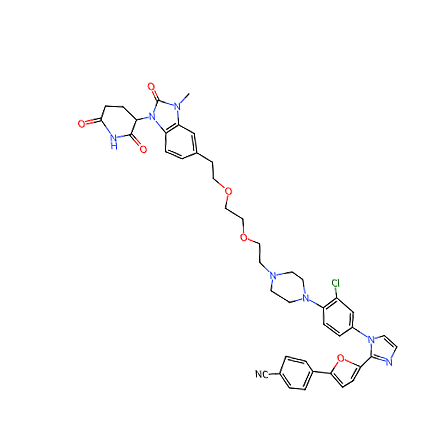 Cn1c(=O)n(C2CCC(=O)NC2=O)c2ccc(CCOCCOCCN3CCN(c4ccc(-n5ccnc5-c5ccc(-c6ccc(C#N)cc6)o5)cc4Cl)CC3)cc21